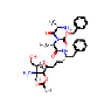 CC(=O)OC(C(=O)CCC[C@@H](Cc1ccccc1)NC(=O)[C@H](C)N(C(=O)OCc1ccccc1)C(=O)[C@H](C)N)[C@](C)(N)C(C)CO